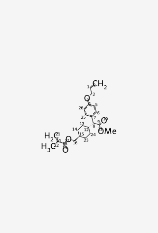 C=CCOc1ccc(C(C(=O)OC)[C@H]2CC[C@H](COC(=O)C(=C)C)CC2)cc1